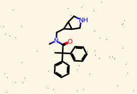 CN(CC1C2CNCC21)C(=O)C(C)(c1ccccc1)c1ccccc1